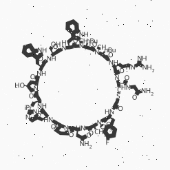 CCCC[C@H]1C(=O)N(C)[C@@H](CCCC)C(=O)N[C@@H](CCCNC(=N)N)C(=O)N[C@H](C(=O)NCC(N)=O)CSCC(=O)N[C@@H](Cc2ccc(F)cc2)C(=O)N(C)[C@@H](C)C(=O)N[C@@H](CC(N)=O)C(=O)N2CCC[C@H]2C(=O)N[C@@H](Cc2cnc[nH]2)C(=O)N[C@@H](CC(C)C)C(=O)N2C[C@H](O)CC2C(=O)N[C@@H](Cc2c[nH]c3ccccc23)C(=O)N[C@@H](CO)C(=O)N[C@@H](Cc2c[nH]c3ccccc23)C(=O)N1C